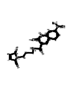 CCN(CC)c1ccc2cc(C(=O)NCCCN3C(=O)C=CC3=O)c(=O)oc2c1